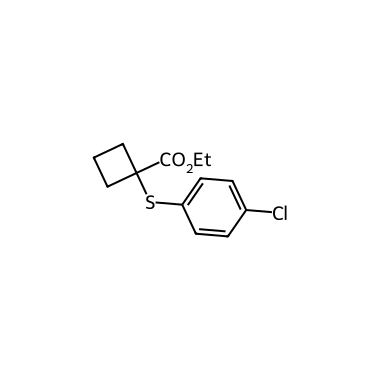 CCOC(=O)C1(Sc2ccc(Cl)cc2)CCC1